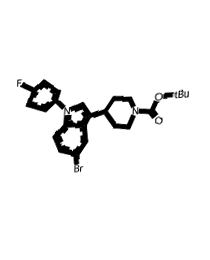 CC(C)(C)OC(=O)N1CCC(c2cn(-c3ccc(F)cc3)c3ccc(Br)cc23)CC1